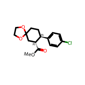 COC(=O)[C@@H]1CC2(CC[C@H]1c1ccc(Cl)cc1)OCCO2